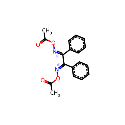 CC(=O)O/N=C(/C(=N/OC(C)=O)c1ccccc1)c1ccccc1